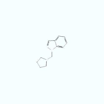 c1ccc2c(c1)cnn2CN1CCCC1